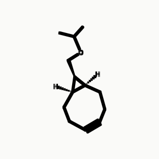 CC(C)OC[C@@H]1[C@@H]2CCC#CCC[C@@H]21